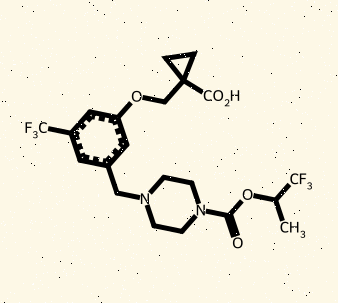 CC(OC(=O)N1CCN(Cc2cc(OCC3(C(=O)O)CC3)cc(C(F)(F)F)c2)CC1)C(F)(F)F